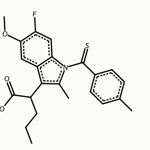 CCCC(C(=O)O)c1c(C)n(C(=S)c2ccc(C)cc2)c2cc(F)c(OC)cc12